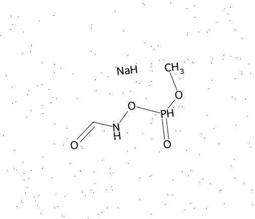 CO[PH](=O)ONC=O.[NaH]